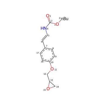 CCCCOC(=O)NC=Cc1ccc(OCC2CO2)cc1